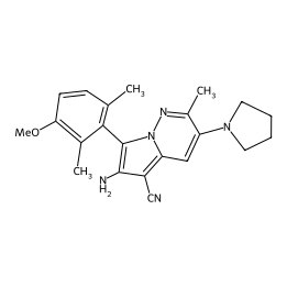 COc1ccc(C)c(-c2c(N)c(C#N)c3cc(N4CCCC4)c(C)nn23)c1C